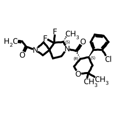 C=CC(=O)N1CC2(CCN(C(=O)[C@H]3COC(C)(C)C[C@@H]3c3ccccc3Cl)[C@@H](C)C2(F)F)C1